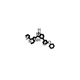 c1csc(-c2nccc3[nH]c(-c4n[nH]c5ccc(-c6cncc(OC7CCCCC7)c6)cc45)cc23)c1